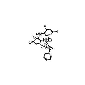 COc1cc(=O)n(C)c(Nc2ccc(I)cc2F)c1NS(=O)(=O)C1CC1c1ccccc1